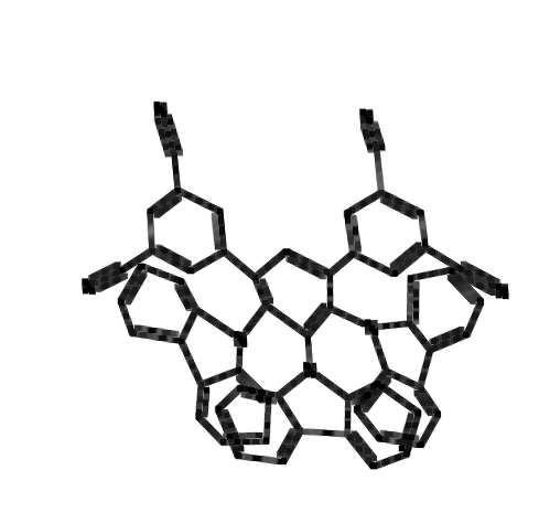 N#Cc1cc(C#N)cc(-c2cc(-c3cc(C#N)cc(C#N)c3)c(-n3c4ccccc4c4ccccc43)c(-n3c4ccccc4c4ccccc43)c2-n2c3ccccc3c3ccccc32)c1